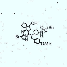 COc1ccc(CN(c2c3c(nc4c(Br)cnn24)C2(CCCC2)C(CO)C3)[C@H]2CC[C@H](NC(=O)OC(C)(C)C)C2)cc1